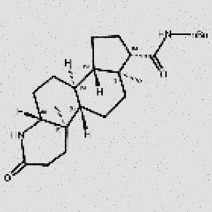 CCCCNC(=O)[C@H]1CC[C@H]2[C@@H]3CC[C@H]4NC(=O)CC[C@]4(C)[C@H]3CC[C@]12C